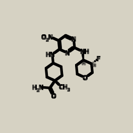 CC1(C(N)=O)CCC(Nc2nc(N[C@@H]3CCOC[C@H]3F)ncc2[N+](=O)[O-])CC1